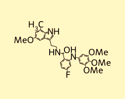 COc1cc(C)c2[nH]cc(CCNC(=O)c3ccc(F)cc3Nc3cc(OC)c(OC)c(OC)c3)c2c1